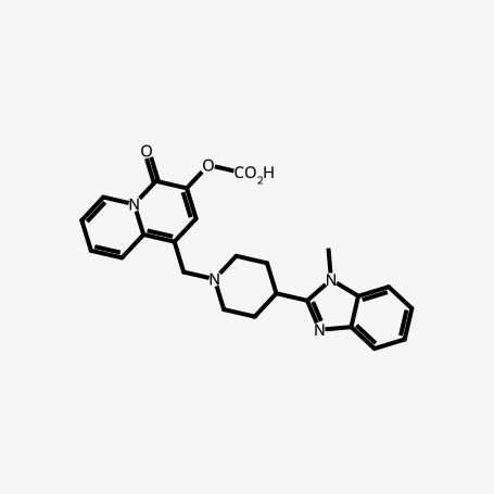 Cn1c(C2CCN(Cc3cc(OC(=O)O)c(=O)n4ccccc34)CC2)nc2ccccc21